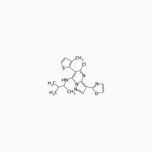 Cc1ccsc1-c1c(Cl)nc2c(-c3ncco3)cnn2c1NC(C)C(C)C